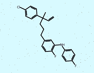 C=CC(C)(CCCc1ccc(F)c(Nc2ccc(F)cc2)c1)c1ccc(Cl)cc1